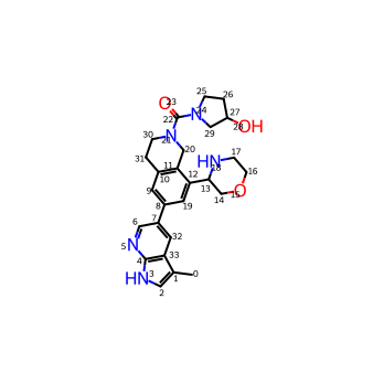 Cc1c[nH]c2ncc(-c3cc4c(c(C5COCCN5)c3)CN(C(=O)N3CCC(O)C3)CC4)cc12